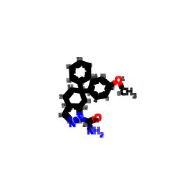 COc1ccc(C2(c3ccccc3)C=Cc3[c]nn(C(N)=O)c3C2)cc1